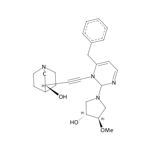 CO[C@@H]1CN(C2N=CC=C(Cc3ccccc3)N2C#C[C@@]2(O)CN3CCC2CC3)C[C@H]1O